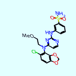 COCCN(c1ccnc(Nc2cccc(S(N)(=O)=O)c2)n1)c1c(Cl)ccc2c1OCO2